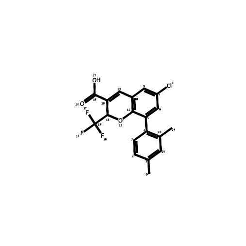 Cc1ccc(-c2cc(Cl)cc3c2OC(C(F)(F)F)C(C(=O)O)=C3)c(C)c1